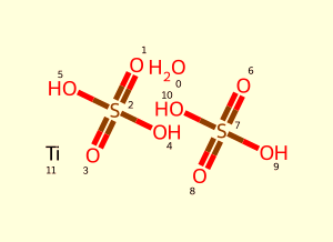 O.O=S(=O)(O)O.O=S(=O)(O)O.[Ti]